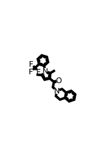 Cc1cc(C(=O)CN2CCc3ccccc3C2)c(C)n1-c1ccccc1C(F)(F)F